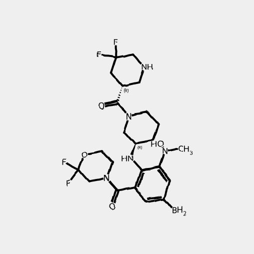 Bc1cc(C(=O)N2CCOC(F)(F)C2)c(N[C@@H]2CCCN(C(=O)[C@H]3CNCC(F)(F)C3)C2)c(N(C)O)c1